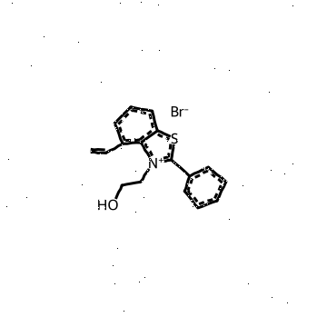 C=Cc1cccc2sc(-c3ccccc3)[n+](CCO)c12.[Br-]